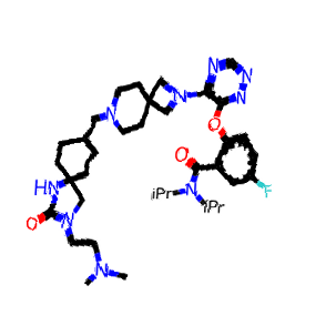 CC(C)N(C(=O)c1cc(F)ccc1Oc1nncnc1N1CC2(CCN(CC3CCC4(CC3)CN(CCN(C)C)C(=O)N4)CC2)C1)C(C)C